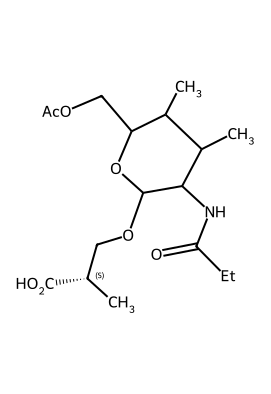 CCC(=O)NC1C(OC[C@H](C)C(=O)O)OC(COC(C)=O)C(C)C1C